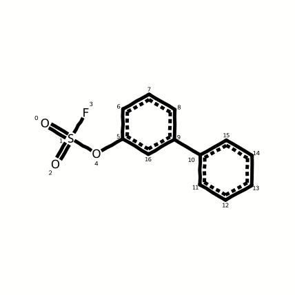 O=S(=O)(F)Oc1cccc(-c2ccccc2)c1